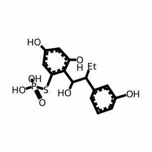 CCC(c1cccc(O)c1)C(O)c1c(O)cc(O)cc1SP(=O)(O)O